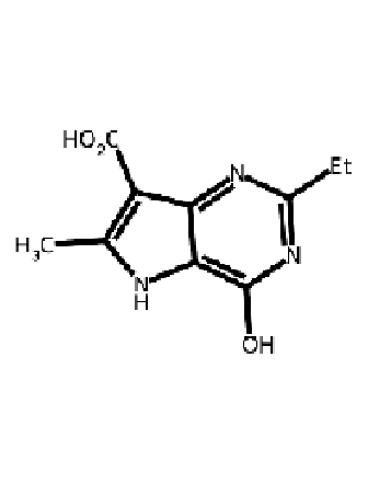 CCc1nc(O)c2[nH]c(C)c(C(=O)O)c2n1